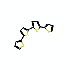 [c]1ccsc1-c1ccc(-c2ccc(-c3cccs3)s2)s1